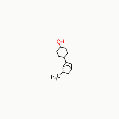 CC1CC2CC1C(C1CCC(O)CC1)C2